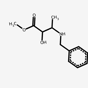 COC(=O)C(O)C(C)NCc1ccccc1